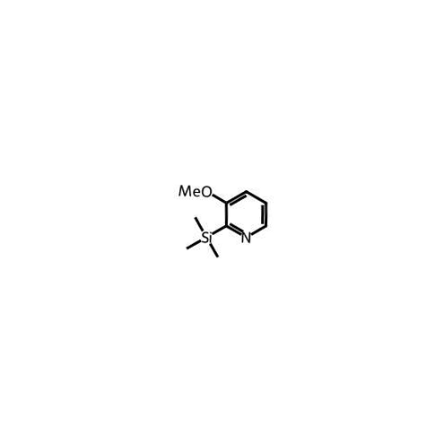 COc1cccnc1[Si](C)(C)C